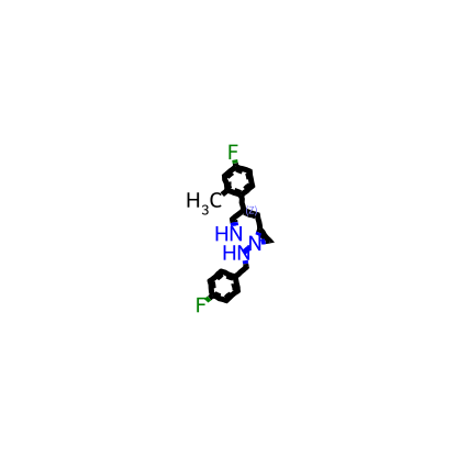 Cc1cc(F)ccc1/C(C=N)=C/C1=CN1NCc1ccc(F)cc1